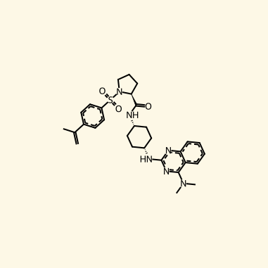 C=C(C)c1ccc(S(=O)(=O)N2CCC[C@H]2C(=O)N[C@H]2CC[C@@H](Nc3nc(N(C)C)c4ccccc4n3)CC2)cc1